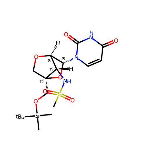 CC(C)(C)[Si](C)(C)OC[C@@]12CO[C@@H]([C@H](n3ccc(=O)[nH]c3=O)O1)[C@@H]2NS(C)(=O)=O